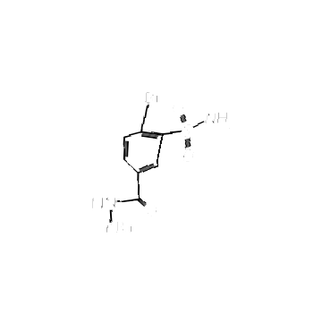 CCCCNC(=O)c1ccc(Br)c(S(N)(=O)=O)c1